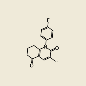 [CH2]c1cc2c(n(-c3ccc(F)cc3)c1=O)CCCC2=O